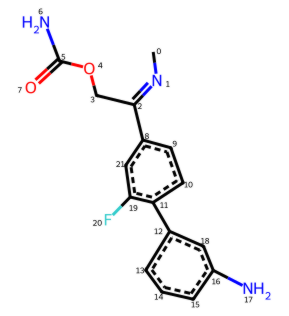 C/N=C(\COC(N)=O)c1ccc(-c2cccc(N)c2)c(F)c1